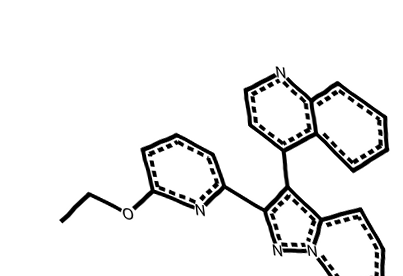 CCOc1cccc(-c2nn3ccccc3c2-c2ccnc3ccccc23)n1